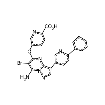 Nc1c(Br)c(Oc2ccc(C(=O)O)nc2)nc2c(-c3ccc(-c4ccccc4)nc3)cnn12